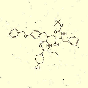 CC[C@H](C)[C@H](NC(=O)C(Cc1ccc(OCc2ccccc2)cc1)CC(O)C(Cc1ccccc1)NC(=O)OC(C)(C)C)C(=O)N1CCC(NC)CC1